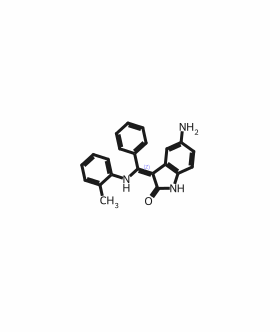 Cc1ccccc1N/C(=C1\C(=O)Nc2ccc(N)cc21)c1ccccc1